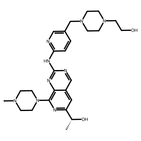 C[C@@H](O)c1cc2cnc(Nc3ccc(CN4CCN(CCO)CC4)cn3)nc2c(N2CCN(C)CC2)n1